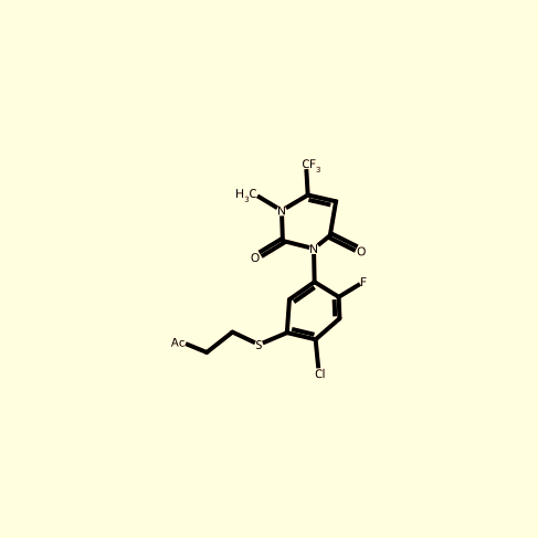 CC(=O)CCSc1cc(-n2c(=O)cc(C(F)(F)F)n(C)c2=O)c(F)cc1Cl